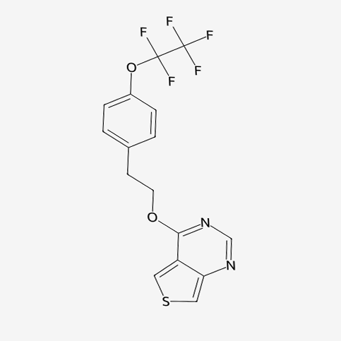 FC(F)(F)C(F)(F)Oc1ccc(CCOc2ncnc3cscc23)cc1